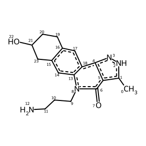 Cc1[nH]nc2c1c(=O)n(CCCN)c1cc3c(cc21)CCC(O)C3